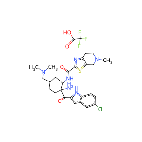 CN(C)CC1CCC(N)(C(=O)c2cc3cc(Cl)ccc3[nH]2)C(NC(=O)c2nc3c(s2)CN(C)CC3)C1.O=C(O)C(F)(F)F